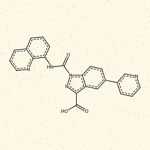 O=C(O)c1nn(C(=O)Nc2cccc3cccnc23)c2ccc(-c3cccnc3)cc12